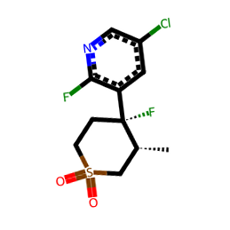 C[C@@H]1CS(=O)(=O)CC[C@@]1(F)c1cc(Cl)cnc1F